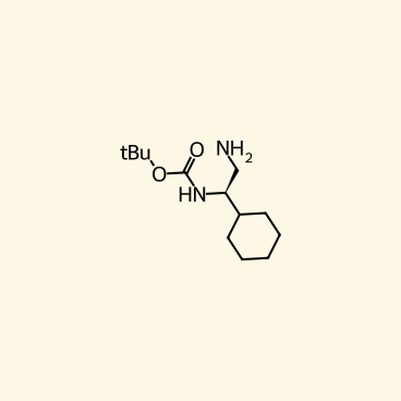 CC(C)(C)OC(=O)N[C@@H](CN)C1CCCCC1